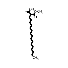 CCCCCCCCCCCCCCCCC(C(=O)O)C(=O)OC